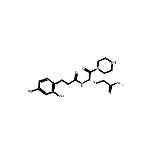 NC(=O)CC[C@H](NC(=O)CCc1ccc(O)cc1O)C(=O)N1CCNCC1